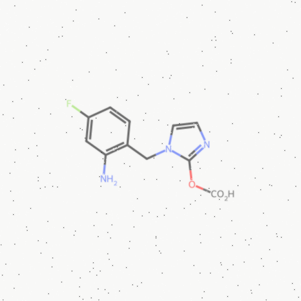 Nc1cc(F)ccc1Cn1ccnc1OC(=O)O